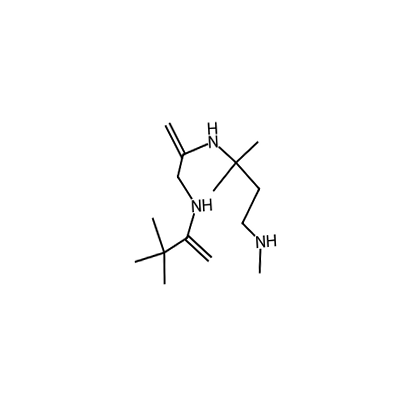 C=C(CNC(=C)C(C)(C)C)NC(C)(C)CCNC